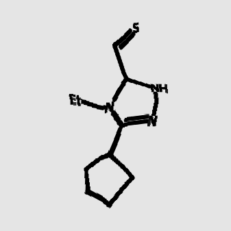 CCN1C(C2CCCC2)=NNC1C=S